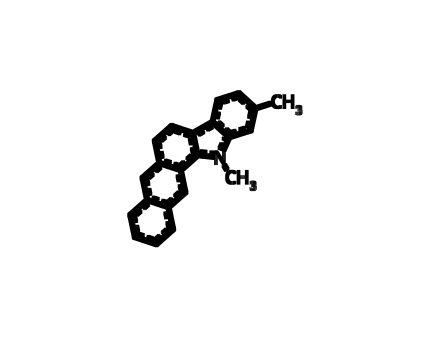 Cc1ccc2c3ccc4cc5ccccc5cc4c3n(C)c2c1